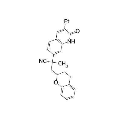 CCc1cc2ccc(C(C)(C#N)CC3CCc4ccccc4O3)cc2[nH]c1=O